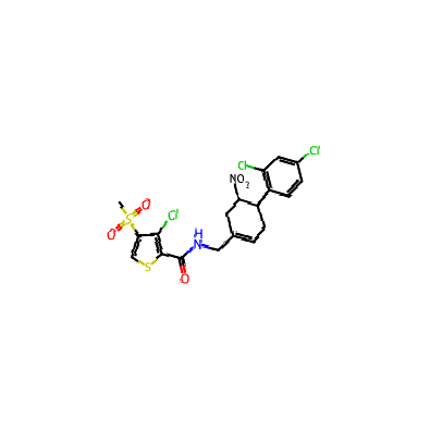 CS(=O)(=O)c1csc(C(=O)NCC2=CCC(c3ccc(Cl)cc3Cl)C([N+](=O)[O-])C2)c1Cl